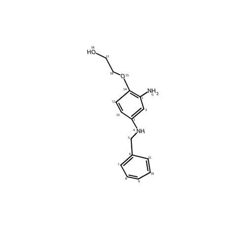 Nc1cc(NCc2ccccc2)ccc1OCCO